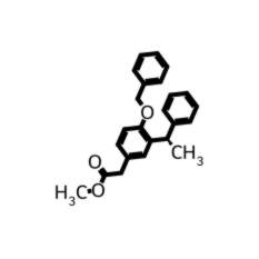 COC(=O)Cc1ccc(OCc2ccccc2)c([C@H](C)c2ccccc2)c1